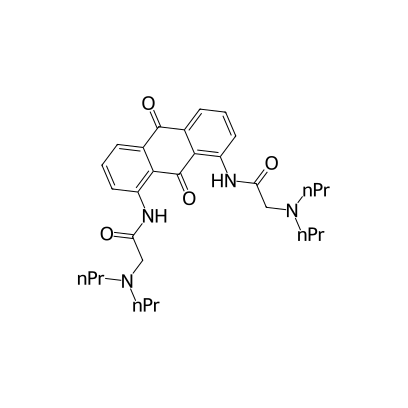 CCCN(CCC)CC(=O)Nc1cccc2c1C(=O)c1c(NC(=O)CN(CCC)CCC)cccc1C2=O